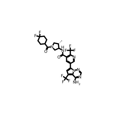 C[C@H]1CN(C(=O)C2CCC(F)(F)CC2)CC1NC(=O)c1cc(-c2cc(C(F)(F)F)c3c(N)ncnn23)cnc1C(F)(F)F